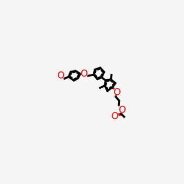 CC(=O)OCCCOc1cc(C)c(-c2cccc(COc3ccc(C=O)cc3)c2)c(C)c1